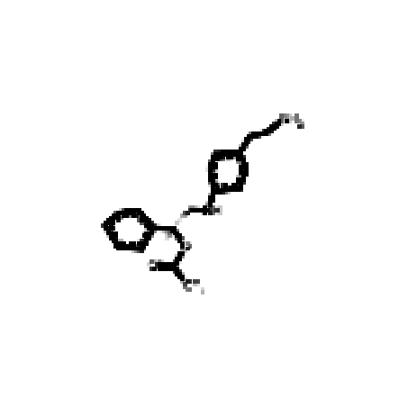 NCCc1ccc(NC[C@H](OC(=O)C(F)(F)F)c2ccccc2)cc1